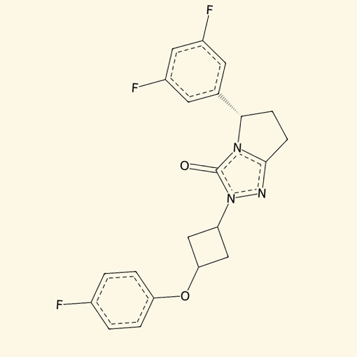 O=c1n(C2CC(Oc3ccc(F)cc3)C2)nc2n1[C@H](c1cc(F)cc(F)c1)CC2